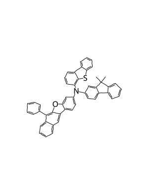 CC1(C)c2ccccc2-c2ccc(N(c3ccc4c(c3)oc3c(-c5ccccc5)c5ccccc5cc34)c3cccc4c3sc3ccccc34)cc21